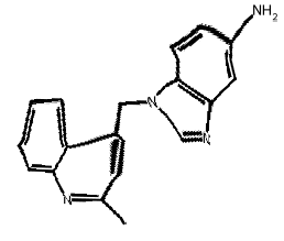 Cc1cc(Cn2cnc3cc(N)ccc32)c2ccccc2n1